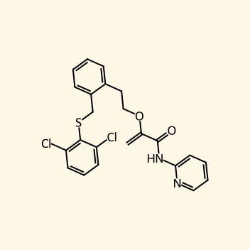 C=C(OCCc1ccccc1CSc1c(Cl)cccc1Cl)C(=O)Nc1ccccn1